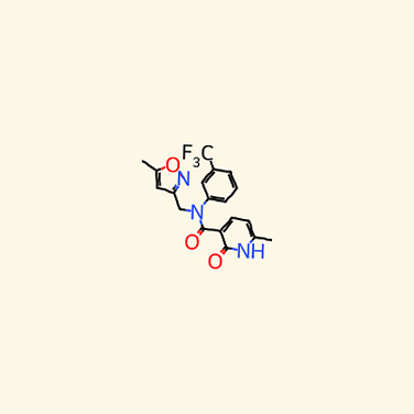 Cc1ccc(C(=O)N(Cc2cc(C)on2)c2cccc(C(F)(F)F)c2)c(=O)[nH]1